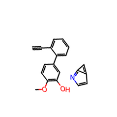 C#Cc1ccccc1-c1ccc(OC)c(O)c1.c1cc2cc-2n1